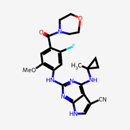 COc1cc(C(=O)N2CCOCC2)c(F)cc1Nc1nc(NC2(C)CC2)c2c(C#N)c[nH]c2n1